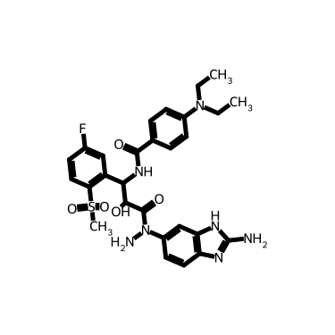 CCN(CC)c1ccc(C(=O)NC(c2cc(F)ccc2S(C)(=O)=O)C(O)C(=O)N(N)c2ccc3nc(N)[nH]c3c2)cc1